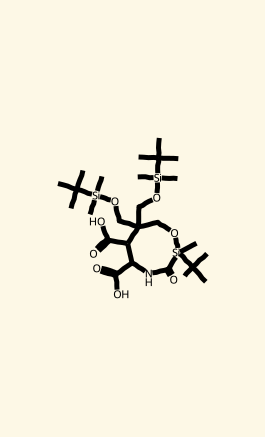 CC(C)(C)[Si](C)(C)OCC1(CO[Si](C)(C)C(C)(C)C)CO[Si](C)(C(C)(C)C)C(=O)NC(C(=O)O)C1C(=O)O